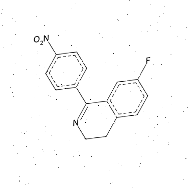 O=[N+]([O-])c1ccc(C2=NCCc3ccc(F)cc32)cc1